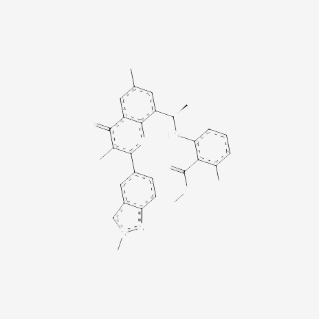 COC(=O)c1c(F)cccc1N[C@H](C)c1cc(C)cc2c(=O)c(C)c(-c3ccc4nn(C)cc4c3)oc12